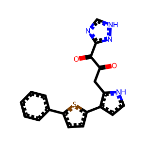 O=C(Cc1[nH]ccc1-c1ccc(-c2ccccc2)s1)C(=O)c1nc[nH]n1